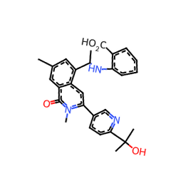 Cc1cc(C(C)Nc2ccccc2C(=O)O)c2cc(-c3ccc(C(C)(C)O)nc3)n(C)c(=O)c2c1